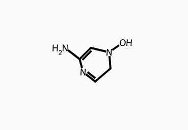 NC1=CN(O)CC=N1